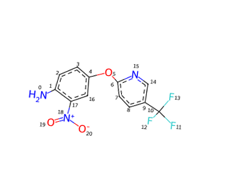 Nc1ccc(Oc2ccc(C(F)(F)F)cn2)cc1[N+](=O)[O-]